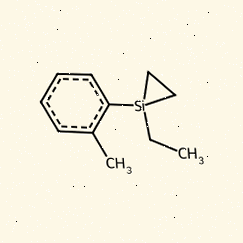 CC[Si]1(c2ccccc2C)CC1